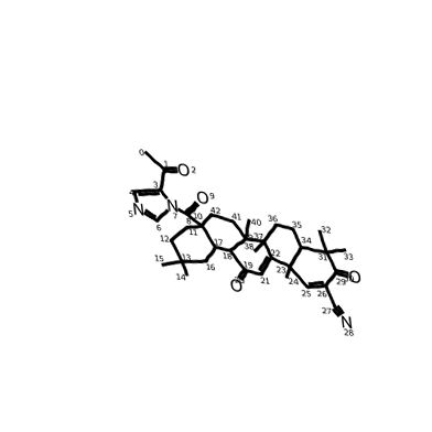 CC(=O)c1cncn1C(=O)C12CCC(C)(C)CC1C1C(=O)C=C3C4(C)C=C(C#N)C(=O)C(C)(C)C4CCC3(C)C1(C)CC2